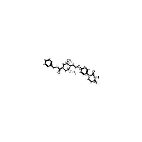 C[C@@H]1CN(C(=O)OCc2ccccc2)C[C@H](C)N1CCOc1ccc(N2CCC(=O)NC2=O)cn1